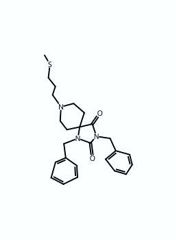 CSCCCN1CCC2(CC1)C(=O)N(Cc1ccccc1)C(=O)N2Cc1ccccc1